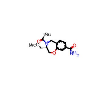 COC[C@H]1COc2cc(C(N)=O)ccc2CN1C(=O)C(C)(C)C